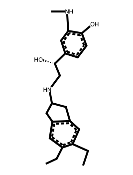 CCc1cc2c(cc1CC)CC(NC[C@H](O)c1ccc(O)c(NC)c1)C2